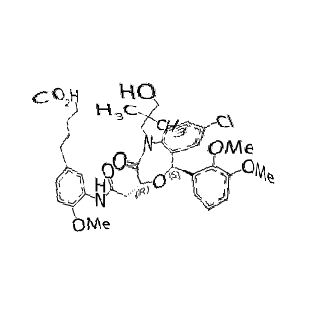 COc1ccc(CCCCC(=O)O)cc1NC(=O)C[C@H]1O[C@H](c2cccc(OC)c2OC)c2cc(Cl)ccc2N(CC(C)(C)CO)C1=O